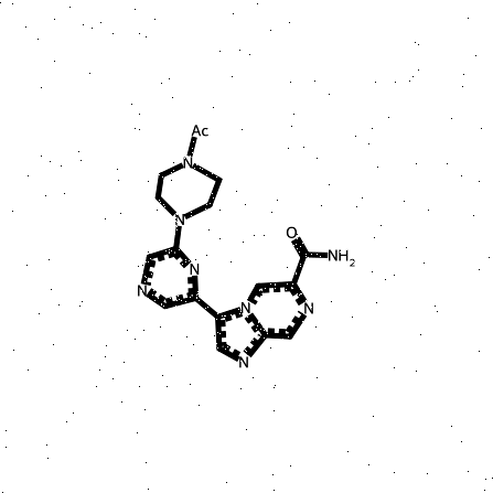 CC(=O)N1CCN(c2cncc(-c3cnc4cnc(C(N)=O)cn34)n2)CC1